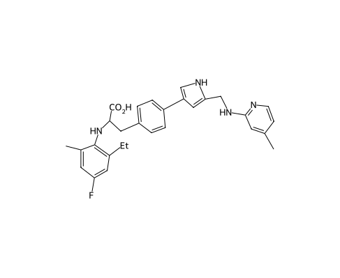 CCc1cc(F)cc(C)c1NC(Cc1ccc(-c2c[nH]c(CNc3cc(C)ccn3)c2)cc1)C(=O)O